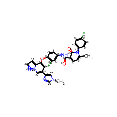 Cc1ccc(C(=O)Nc2ccc(Oc3cc(-c4cn(C)cn4)cn4nccc34)c(F)c2)c(=O)n1-c1ccc(F)cc1